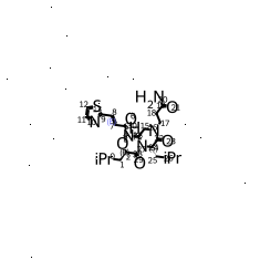 CC(C)C[C@H]1ON(C(=O)/C=C/c2nccs2)[C@H]2CN(CCC(N)=O)C(=O)[C@H](CC(C)C)N2C1=O